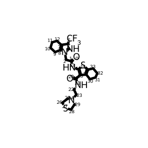 O=C(CN1NC(C(F)(F)F)C2=C1CCCC2)Nc1sc2c(c1C(=O)NCCN1CCSCC1)CCCC2